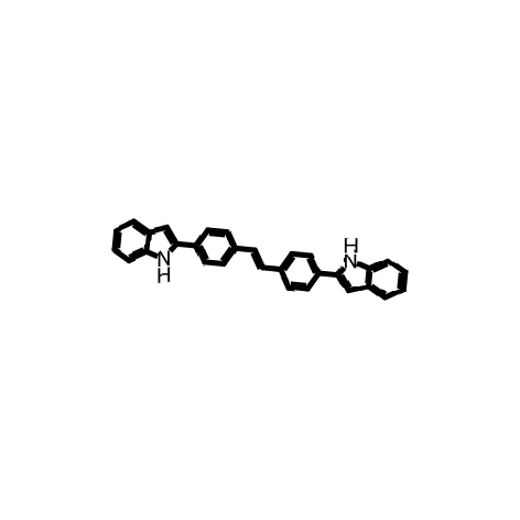 C(=Cc1ccc(-c2cc3ccccc3[nH]2)cc1)c1ccc(-c2cc3ccccc3[nH]2)cc1